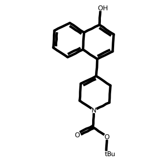 CC(C)(C)OC(=O)N1CC=C(c2ccc(O)c3ccccc23)CC1